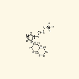 C[Si](C)(C)CCOCn1cncc1C1CCC2CCCCC2C1